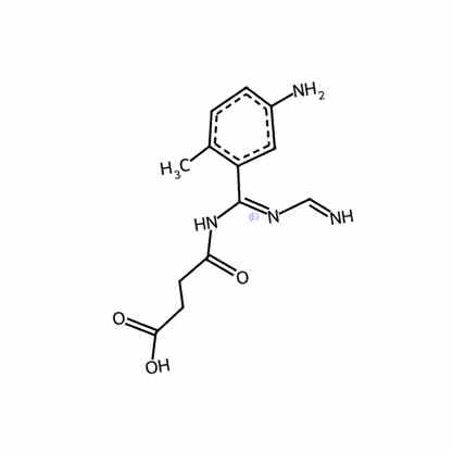 Cc1ccc(N)cc1/C(=N\C=N)NC(=O)CCC(=O)O